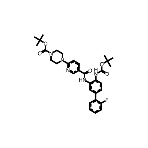 CC(C)(C)OC(=O)Nc1ccc(-c2ccccc2F)cc1NC(=O)c1ccc(N2CCN(C(=O)OC(C)(C)C)CC2)nc1